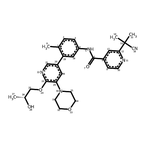 Cc1ccc(NC(=O)c2ccnc(C(C)(C)C#N)c2)cc1-c1cnc(OC[C@@H](C)O)c(N2CCOCC2)c1